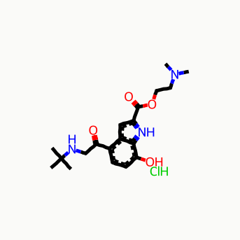 CN(C)CCOC(=O)c1cc2c(C(=O)CNC(C)(C)C)ccc(O)c2[nH]1.Cl